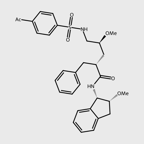 CO[C@H](CNS(=O)(=O)c1ccc(C(C)=O)cc1)C[C@@H](Cc1ccccc1)C(=O)N[C@H]1c2ccccc2C[C@H]1OC